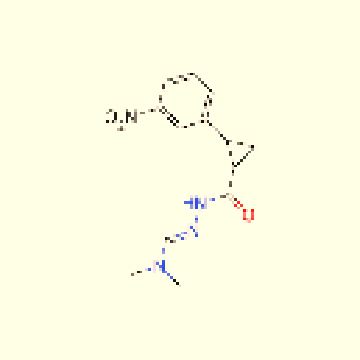 CN(C)/C=N/NC(=O)C1CC1c1cccc([N+](=O)[O-])c1